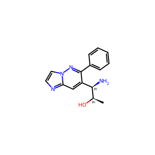 C[C@@H](O)[C@H](N)c1cc2nccn2nc1-c1ccccc1